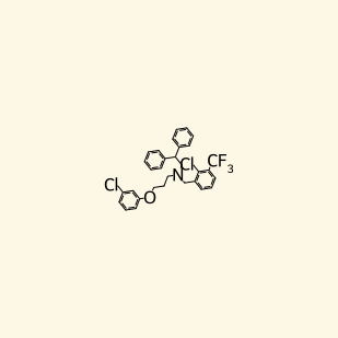 FC(F)(F)c1cccc(CN(CCCOc2cccc(Cl)c2)CC(c2ccccc2)c2ccccc2)c1Cl